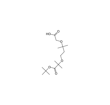 CC(C)(C)OC(=O)C(C)(C)OCCC(C)(C)OCC(=O)O